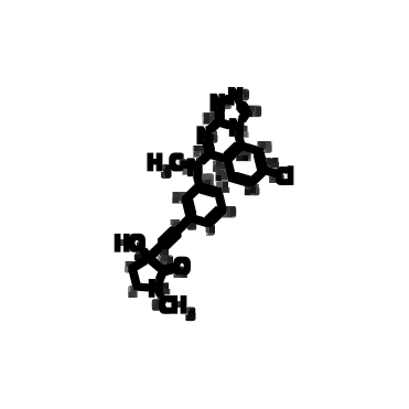 CN1CCC(O)(C#Cc2cccc(N(C)c3nc4nncn4c4cc(Cl)ccc34)c2)C1=O